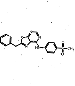 CS(=O)(=O)c1ccc(Nc2ncnc3sc(Cc4ccccc4)nc23)cc1